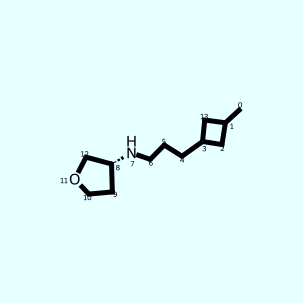 CC1CC(CCCN[C@@H]2CCOC2)C1